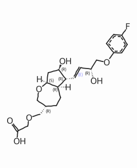 O=C(O)COC[C@H]1CC[C@@H]2[C@@H](/C=C/[C@@H](O)COc3ccc(F)cc3)[C@H](O)C[C@@H]2OC1